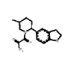 CC1CCC(c2ccc3c(c2)CCO3)N(C(=O)C(N)=O)C1